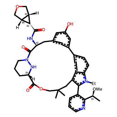 CCn1c(-c2cccnc2[C@H](C)OC)c2c3cc(ccc31)-c1cc(O)cc(c1)C[C@H](NC(=O)[C@@H]1[C@@H]3COC[C@@H]31)C(=O)N1CCC[C@H](N1)C(=O)OCC(C)(C)C2